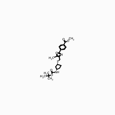 COC(=O)c1ccc(-c2nc(CS[C@@H]3CC[C@H](NC(=O)OC(C)(C)C)C3)c(C)o2)cc1